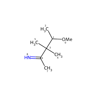 COC(C)C(C)(C)C(C)=N